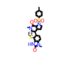 CCSc1c(-c2cn(C)c(=O)c3c2ccn3S(=O)(=O)c2ccc(C)cc2)ccc2c1[nH]c(=O)n2C